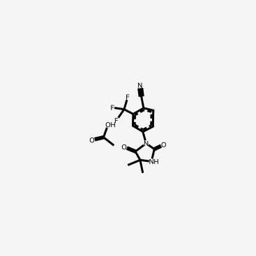 CC(=O)O.CC1(C)NC(=O)N(c2ccc(C#N)c(C(F)(F)F)c2)C1=O